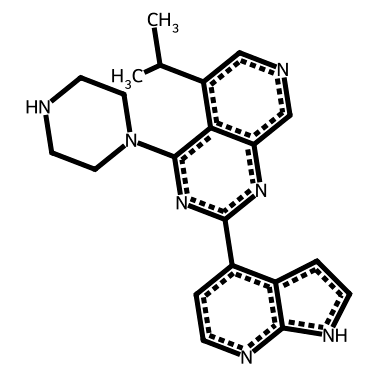 CC(C)c1cncc2nc(-c3ccnc4[nH]ccc34)nc(N3CCNCC3)c12